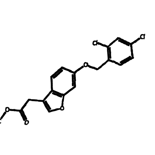 COC(=O)Cc1coc2cc(OCc3ccc(Cl)cc3Cl)ccc12